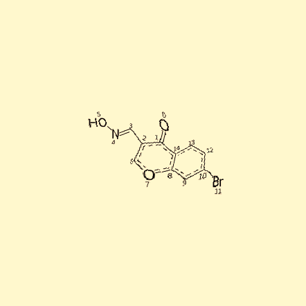 O=c1c(/C=N/O)coc2cc(Br)ccc12